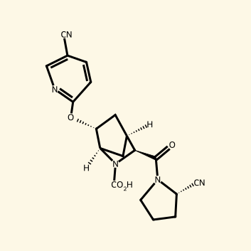 N#Cc1ccc(O[C@@H]2C[C@@H]3C[C@H]2N(C(=O)O)[C@@H]3C(=O)N2CCC[C@H]2C#N)nc1